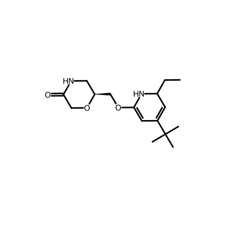 CCC1C=C(C(C)(C)C)C=C(OC[C@@H]2CNC(=O)CO2)N1